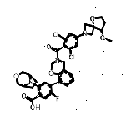 COC1CCOC12CN(c1cc(Cl)c(C(=O)N3COc4c(cccc4-c4cc(N5C6CCC5COC6)c(C(=O)O)cc4F)C3)c(Cl)c1)C2